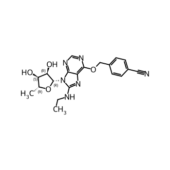 CCNc1nc2c(OCc3ccc(C#N)cc3)ncnc2n1[C@@H]1O[C@H](C)[C@@H](O)[C@H]1O